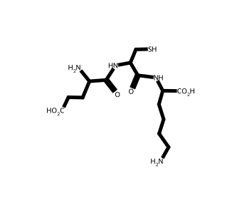 NCCCCC(NC(=O)C(CS)NC(=O)C(N)CCC(=O)O)C(=O)O